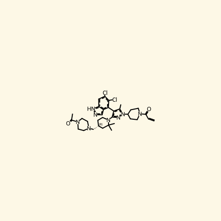 C=CC(=O)N1CCC(n2nc(N3CC[C@@H](CN4CCN(C(C)=O)CC4)CC3(C)C)c(-c3c(Cl)c(Cl)cc4[nH]ncc34)c2C)CC1